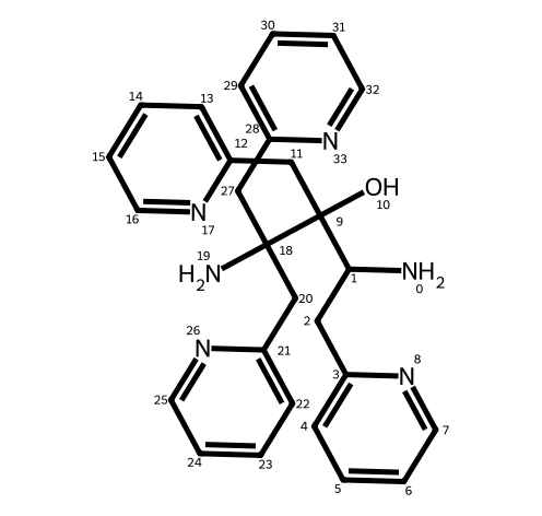 NC(Cc1ccccn1)C(O)(Cc1ccccn1)C(N)(Cc1ccccn1)Cc1ccccn1